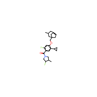 CC1CC2=CCC(COc3cc(F)c(C(=O)N4CC(C)C(F)C4)cc3C3CC3)(C2)C1